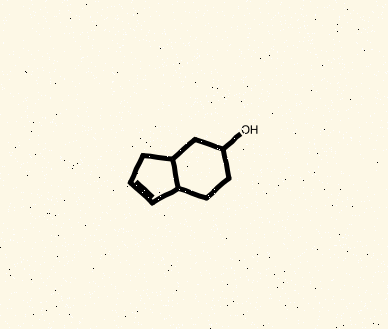 OC1CCC2C=CCC2C1